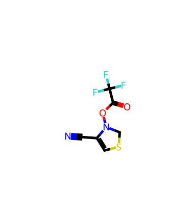 N#CC1=CSCN1OC(=O)C(F)(F)F